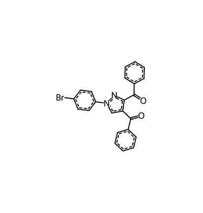 O=C(c1ccccc1)c1cn(-c2ccc(Br)cc2)nc1C(=O)c1ccccc1